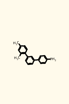 Cc1ccc(-c2cccc(-c3ccc(P)cc3)c2)c(C)c1